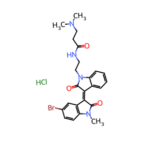 CN(C)CCC(=O)NCCN1C(=O)/C(=C2/C(=O)N(C)c3ccc(Br)cc32)c2ccccc21.Cl